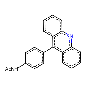 CC(=O)Nc1ccc(-c2c3ccccc3nc3ccccc23)cc1